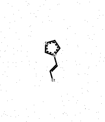 CCC=C[n+]1ccsc1